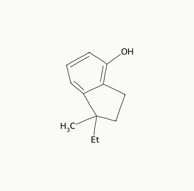 CCC1(C)CCc2c(O)cccc21